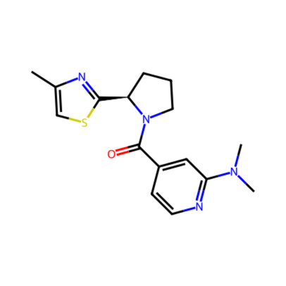 Cc1csc([C@H]2CCCN2C(=O)c2ccnc(N(C)C)c2)n1